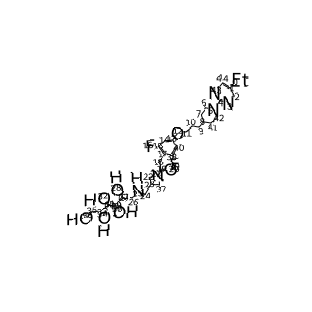 CCc1cnc(N2CCC(CCCOc3cc(F)c(CC(=O)N4CC(CNC[C@H](O)[C@@H](O)[C@H](O)C(O)CO)C4)c(F)c3)CC2)nc1